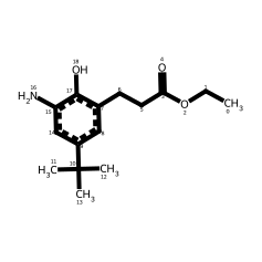 CCOC(=O)CCc1cc(C(C)(C)C)cc(N)c1O